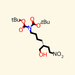 CC(C)(C)OC(=O)N(CCCC[C@@H](CO)CC[N+](=O)[O-])C(=O)OC(C)(C)C